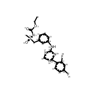 CCOC(=O)N=S(C)(=O)Cc1cccc(Nc2ncnc(-c3ccc(F)cc3F)n2)c1